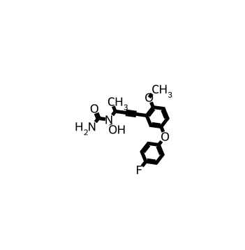 COc1ccc(Oc2ccc(F)cc2)cc1C#CC(C)N(O)C(N)=O